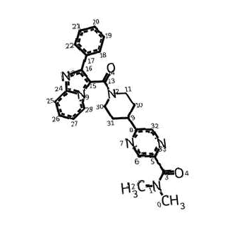 CN(C)C(=O)c1cnc(C2CCN(C(=O)c3c(-c4ccccc4)nc4ccccn34)CC2)cn1